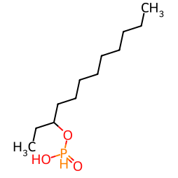 CCCCCCCCCC(CC)O[PH](=O)O